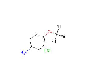 Cl.[2H]C([2H])([2H])OC1CCC(N)CC1